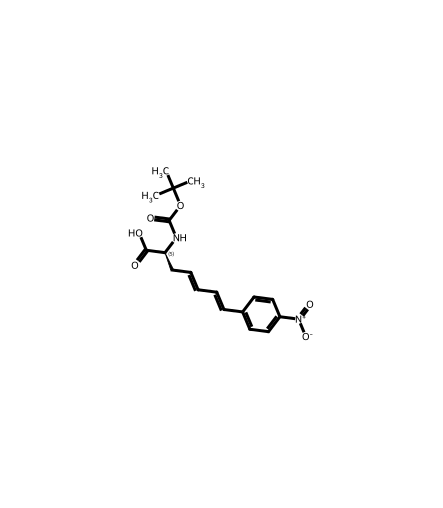 CC(C)(C)OC(=O)N[C@@H](CC=CC=Cc1ccc([N+](=O)[O-])cc1)C(=O)O